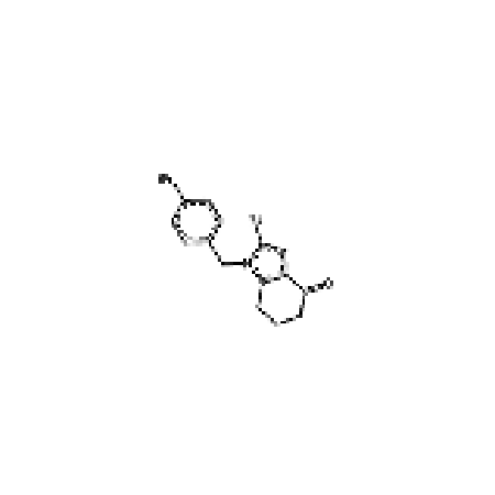 CCc1cc2c(n1Cc1ccc(C(C)C)cc1)CCCC2=O